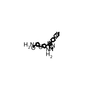 CN1CCN(C2CCC(n3nc(-c4ccc(Oc5cccc(C(N)=O)c5)cc4)c4c(N)ncnc43)CC2)CC1